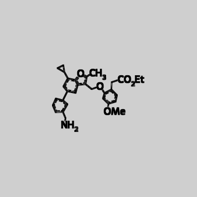 CCOC(=O)Cc1ccc(OC)cc1OCc1c(C)oc2c(C3CC3)cc(-c3cccc(CN)c3)cc12